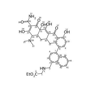 CCOC(=O)CNCc1ccc(-c2ccc(O)c3c2CC2CC4C(N(C)C)C(O)=C(C(N)=O)C(=O)C4(O)C(O)=C2C3=O)c2ccccc12